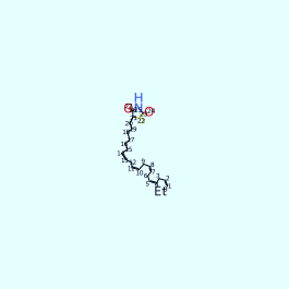 CC/C=C\C/C=C\C/C=C\C/C=C\C/C=C\CCCCCCC1SC(=O)NC1=O